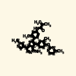 C=C(C)C(=O)Nc1ccc(-c2sc3c(-c4cnn(C)c4)cnc(N)c3c2-c2ccc(Oc3nccc(C)n3)c(C)c2)c(C)c1